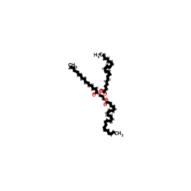 CC/C=C\C/C=C\C/C=C\C/C=C\C/C=C\C/C=C\CCC(=O)OC[C@@H](COC(=O)CCCCCCCCCCCCCCC)OC(=O)CCCCCC/C=C\C/C=C\C/C=C\CCCCC